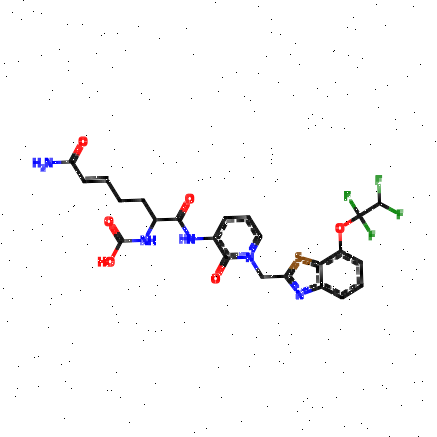 NC(=O)C=CCCC(NC(=O)O)C(=O)Nc1cccn(Cc2nc3cccc(OC(F)(F)C(F)F)c3s2)c1=O